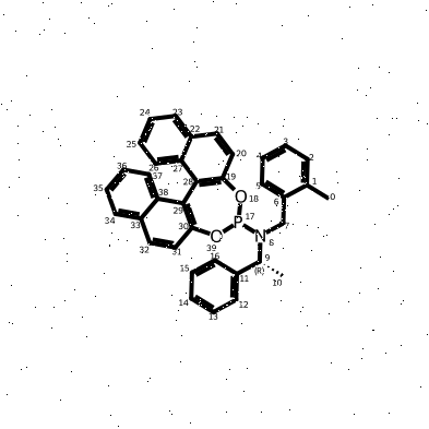 Cc1ccccc1CN([C@H](C)c1ccccc1)p1oc2ccc3ccccc3c2c2c(ccc3ccccc32)o1